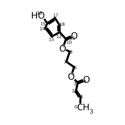 CC=CC(=O)OCCCOC(=O)c1ccc(O)cc1